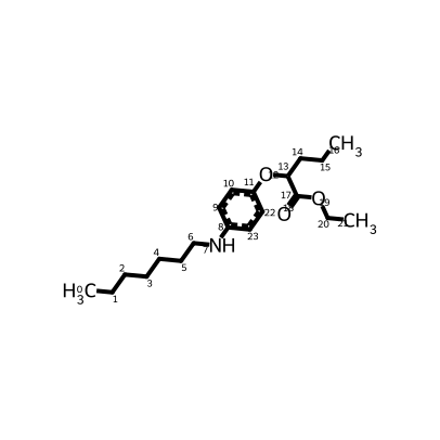 CCCCCCCNc1ccc(OC(CCC)C(=O)OCC)cc1